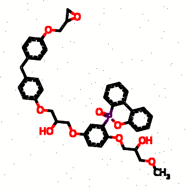 COCC(O)COc1ccc(OCC(O)COc2ccc(Cc3ccc(OCC4CO4)cc3)cc2)cc1P1(=O)Oc2ccccc2-c2ccccc21